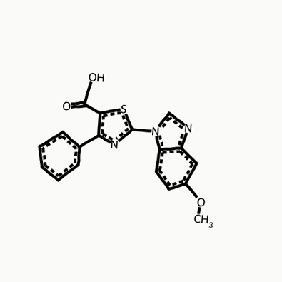 COc1ccc2c(c1)ncn2-c1nc(-c2ccccc2)c(C(=O)O)s1